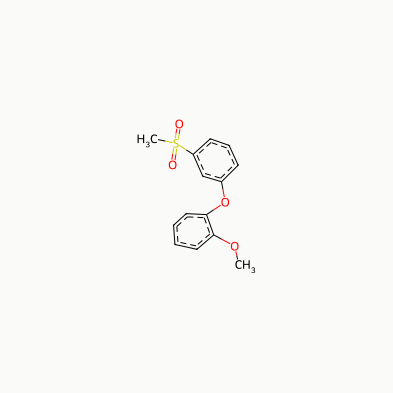 COc1ccccc1Oc1cccc(S(C)(=O)=O)c1